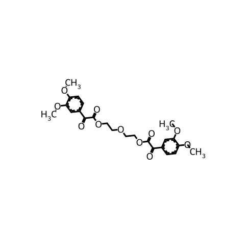 COc1ccc(C(=O)C(=O)OCCOCCOC(=O)C(=O)c2ccc(OC)c(OC)c2)cc1OC